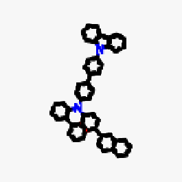 c1ccc(-c2ccccc2N(c2ccc(-c3ccc(-n4c5ccccc5c5ccccc54)cc3)cc2)c2ccc(-c3ccc4ccccc4c3)cc2)cc1